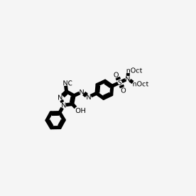 [C-]#[N+]c1nn(-c2ccccc2)c(O)c1N=Nc1ccc(S(=O)(=O)N(CCCCCCCC)CCCCCCCC)cc1